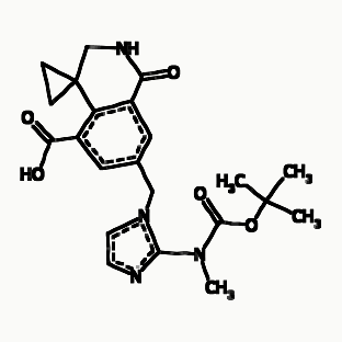 CN(C(=O)OC(C)(C)C)c1nccn1Cc1cc(C(=O)O)c2c(c1)C(=O)NCC21CC1